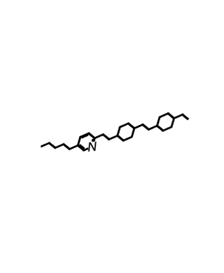 CCCCCc1ccc(CCC2CCC(CCC3CCC(CC)CC3)CC2)nc1